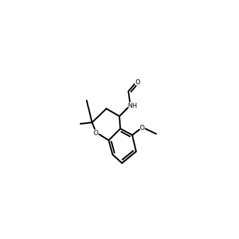 COc1cccc2c1C(NC=O)CC(C)(C)O2